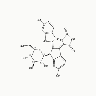 O=C1NC(=O)c2c1c1c3ccc(O)cc3[nH]c1c1c2c2ccc(O)cc2n1[C@@H]1O[C@H](CO)[C@@H](O)[C@H](O)[C@H]1O